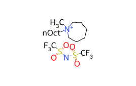 CCCCCCCC[N+]1(C)CCCCCC1.O=S(=O)([N-]S(=O)(=O)C(F)(F)F)C(F)(F)F